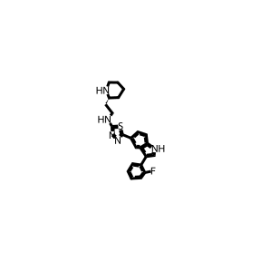 Fc1ccccc1-c1c[nH]c2ccc(-c3nnc(NCC[C@H]4CCCCN4)s3)cc12